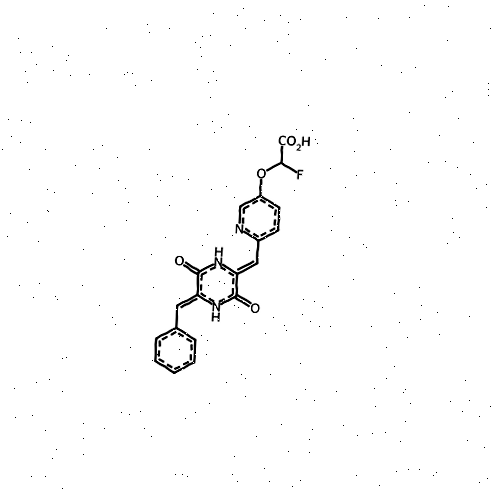 O=C(O)C(F)Oc1ccc(C=c2[nH]c(=O)c(=Cc3ccccc3)[nH]c2=O)nc1